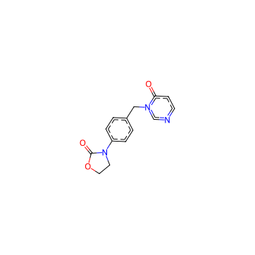 O=C1OCCN1c1ccc(Cn2cnccc2=O)cc1